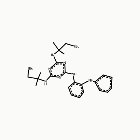 CC(C)(C)CC(C)(C)Nc1nc(Nc2ccccc2Nc2ccccc2)nc(NC(C)(C)CC(C)(C)C)n1